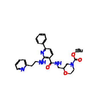 CC(C)(C)OC(=O)N1CCOC(CNC(=O)c2ccc(-c3ccccc3)nc2NCCc2ccccn2)C1